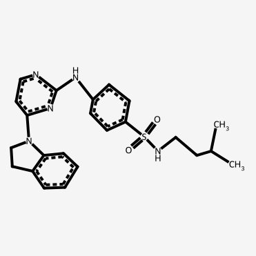 CC(C)CCNS(=O)(=O)c1ccc(Nc2nccc(N3CCc4ccccc43)n2)cc1